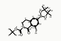 CC(C)(C)OC(=O)N1CCc2cc(B3OC(C)(C)C(C)(C)O3)cc(F)c2C1=O